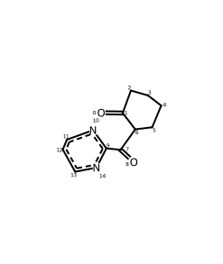 O=C1CCCCC1C(=O)c1ncccn1